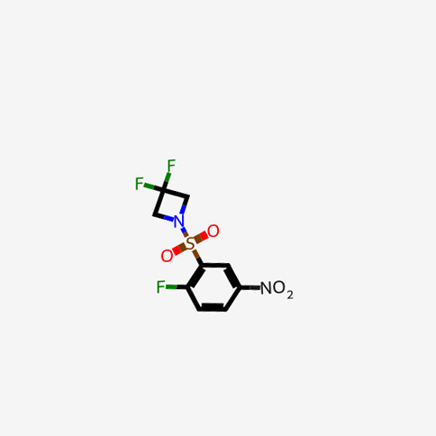 O=[N+]([O-])c1ccc(F)c(S(=O)(=O)N2CC(F)(F)C2)c1